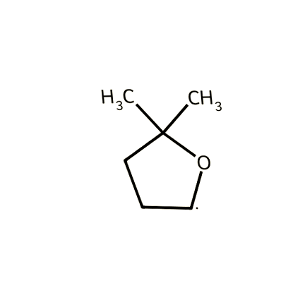 CC1(C)CC[CH]O1